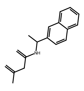 C=C(C)CC(=C)NC(C)c1ccc2ccccc2c1